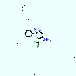 NC1=C(C(F)(F)F)CC(N)(c2ccccc2)C=C1